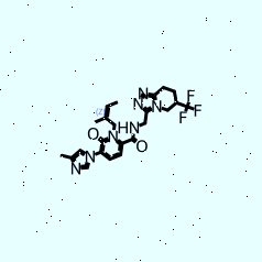 C/C=C(/C)Cn1c(C(=O)NCc2nnc3n2CC(C(F)(F)F)CC3)ccc(-n2cnc(C)c2)c1=O